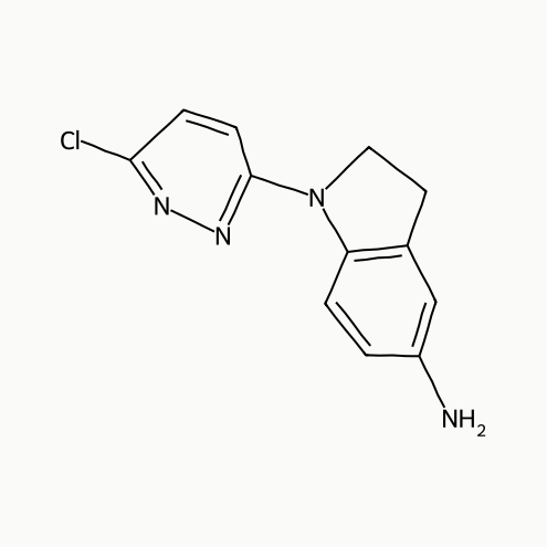 Nc1ccc2c(c1)CCN2c1ccc(Cl)nn1